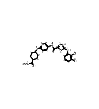 COC(=O)C1CCC(Oc2ccc(NC(=O)c3nnc(Nc4cccc(Cl)c4Cl)o3)cn2)CC1